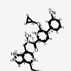 CN(Cc1cnc(CO)c2cn[nH]c12)C(=O)c1ccc(-c2cccc(C#N)c2)c(OC2CC2)n1